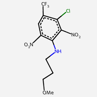 COCCCNc1c([N+](=O)[O-])cc(C(F)(F)F)c(Cl)c1[N+](=O)[O-]